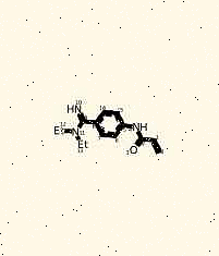 C=CC(=O)Nc1ccc(C(=N)N(CC)CC)cc1